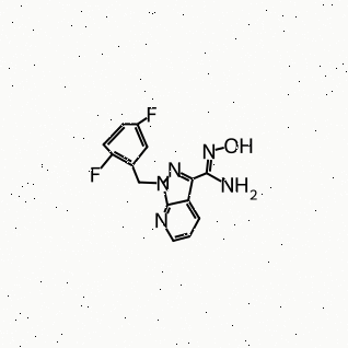 N/C(=N\O)c1nn(Cc2cc(F)ccc2F)c2ncccc12